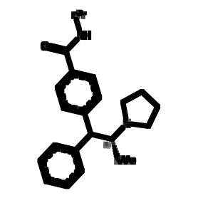 CCCNC(=O)c1ccc(C(c2ccccc2)[C@@H](NC)N2CCCC2)cc1